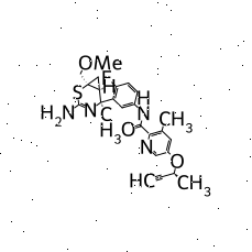 C#C[C@H](C)Oc1cnc(C(=O)Nc2ccc(F)c([C@@]3(C)N=C(N)S[C@@]4(COC)C[C@H]43)c2)c(C)c1